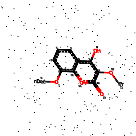 CCCCCCCCCCOc1cccc2c(O)c(OC(C)C)c(=O)oc12